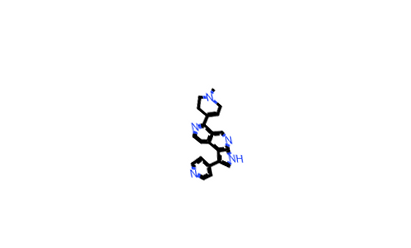 CN1CC=C(c2nccc3c2cnc2[nH]cc(-c4ccncc4)c23)CC1